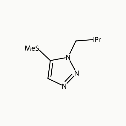 [CH2]Sc1cnnn1CC(C)C